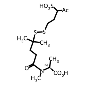 CC(=O)C(CCSSC(C)(C)CCC(=O)N(C)[C@@H](C)C(=O)O)S(=O)(=O)O